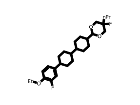 CCCC1(F)COC(C2CCC(C3CCC(c4ccc(OCC)c(F)c4)CC3)CC2)OC1